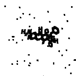 Cc1c2c(c(=O)n3c1C(=O)NC3(C)Cc1ccccc1)Nc1cc(N)ncc1C2